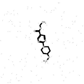 CCOC(=O)c1cnc(N2CCC(OC)CC2)nc1